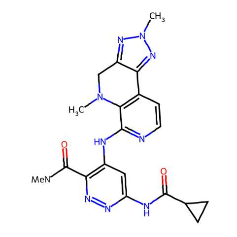 CNC(=O)c1nnc(NC(=O)C2CC2)cc1Nc1nccc2c1N(C)Cc1nn(C)nc1-2